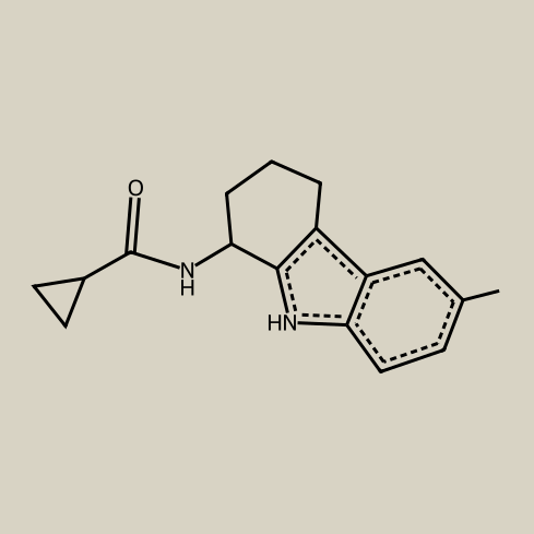 Cc1ccc2[nH]c3c(c2c1)CCCC3NC(=O)C1CC1